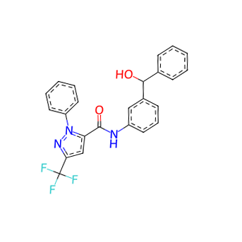 O=C(Nc1cccc(C(O)c2ccccc2)c1)c1cc(C(F)(F)F)nn1-c1ccccc1